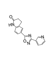 O=C1CCc2cc(-c3nc(-c4cccnc4)no3)ccc2N1